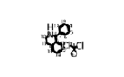 O=C(Cl)Cl.c1ccc(C2NCCc3ccccc32)cc1